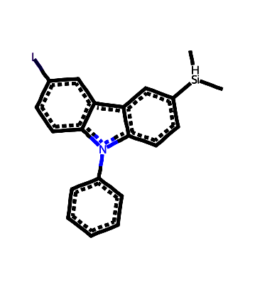 C[SiH](C)c1ccc2c(c1)c1cc(I)ccc1n2-c1ccccc1